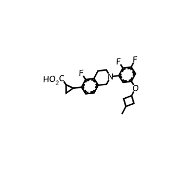 CC1CC(Oc2cc(F)c(F)c(N3CCc4c(ccc(C5CC5C(=O)O)c4F)C3)c2)C1